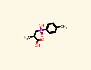 Cc1ccc(P(=O)(O)CC(C)C(=O)O)cc1